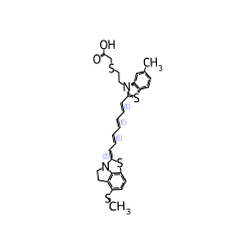 CSc1ccc2c3c1CCN3/C(=C/C=C/C=C/C=C/c1sc3ccc(C)cc3[n+]1CCSCC(=O)O)S2